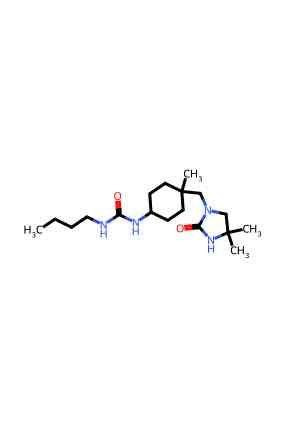 CCCCNC(=O)NC1CCC(C)(CN2CC(C)(C)NC2=O)CC1